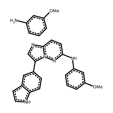 COc1cccc(N)c1.COc1cccc(Nc2ccc3ncc(-c4ccc5[nH]ccc5c4)n3n2)c1